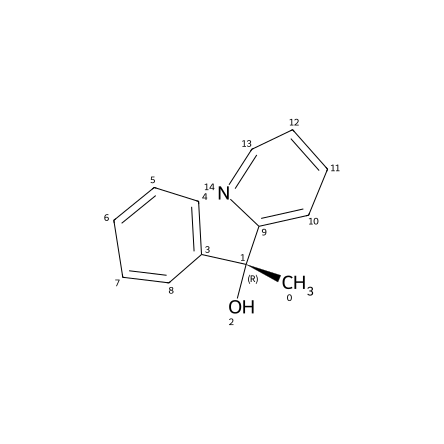 C[C@@](O)(c1ccccc1)c1ccccn1